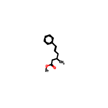 CC(C/C=C/c1ccccc1)CC(=O)OC(C)C